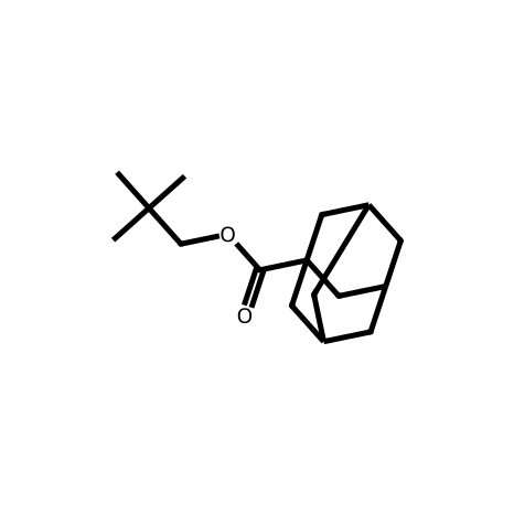 CC(C)(C)COC(=O)C12CC3CC(CC(C3)C1)C2